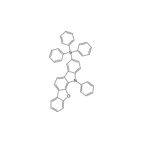 c1ccc(-n2c3ccc([Si](c4ccccc4)(c4ccccc4)c4ccccc4)cc3c3ccc4c5ccccc5oc4c32)cc1